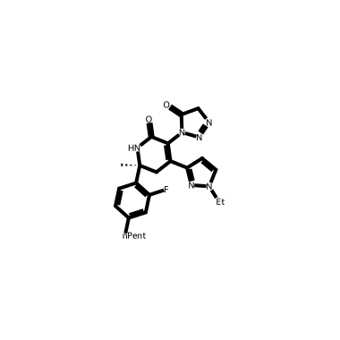 CCCCCc1ccc([C@]2(C)CC(c3ccn(CC)n3)=C(N3N=NCC3=O)C(=O)N2)c(F)c1